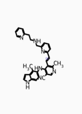 Cc1ncc(C#N)c(Nc2ccc3[nH]ccc3c2C)c1/C=C/c1cccc(CNCCc2ccccn2)n1